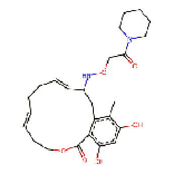 Cc1c(O)cc(O)c2c1CC(NOCC(=O)N1CCCCC1)/C=C/CC/C=C/CCOC2=O